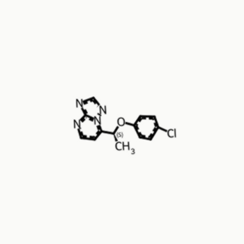 C[C@H](Oc1ccc(Cl)cc1)c1ccnc2ncnn12